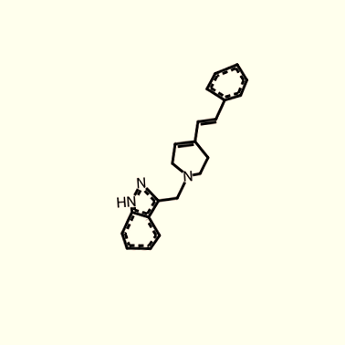 C(=Cc1ccccc1)C1=CCN(Cc2n[nH]c3ccccc23)CC1